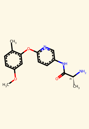 COc1ccc(C)c(Oc2ccc(NC(=O)[C@@H](C)N)cn2)c1